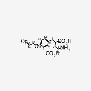 NC(CC(Cc1ccc(OCC[18F])cc1)C(=O)O)C(=O)O